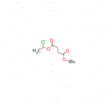 CC(Cl)OC(=O)CCC(=O)OC(C)(C)C